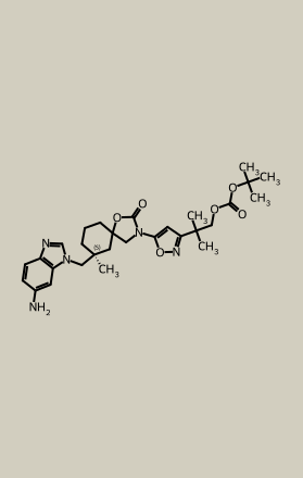 CC(C)(C)OC(=O)OCC(C)(C)c1cc(N2CC3(CCC[C@](C)(Cn4cnc5ccc(N)cc54)C3)OC2=O)on1